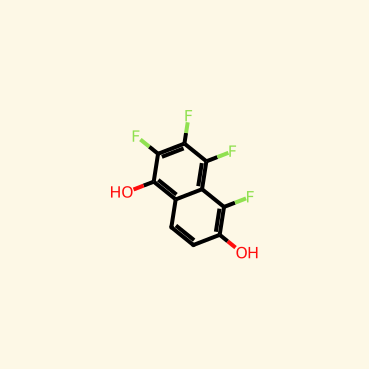 Oc1ccc2c(O)c(F)c(F)c(F)c2c1F